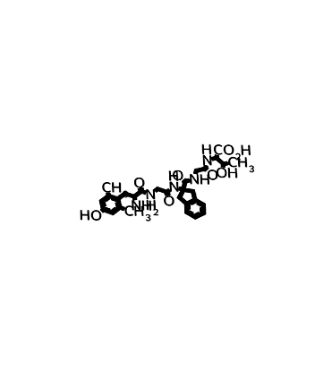 Cc1cc(O)cc(C)c1CC(N)C(=O)NCC(=O)NC1(C(=O)NCC(=O)NC(C(=O)O)C(C)O)Cc2ccccc2C1